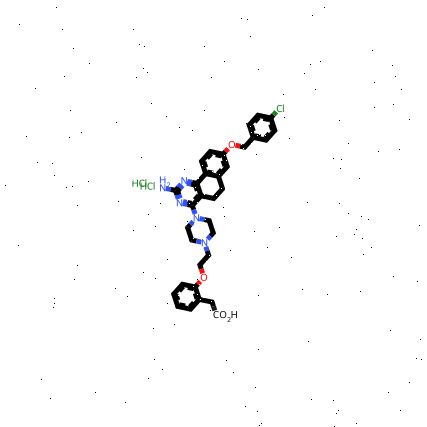 Cl.Cl.Nc1nc2c(c(N3CCN(CCOc4ccccc4CC(=O)O)CC3)n1)CCc1cc(OCc3ccc(Cl)cc3)ccc1-2